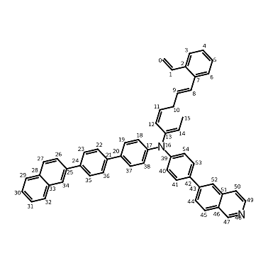 C=Cc1ccccc1/C=C/C/C=C\C(=C/C)N(c1ccc(-c2ccc(-c3ccc4ccccc4c3)cc2)cc1)c1ccc(-c2ccc3cnccc3c2)cc1